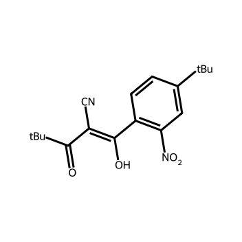 CC(C)(C)C(=O)/C(C#N)=C(\O)c1ccc(C(C)(C)C)cc1[N+](=O)[O-]